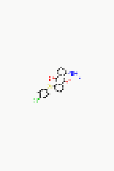 Cc1cc(Sc2cccc3c2C(=O)c2cccc(N)c2C3=O)c(C)cc1Cl